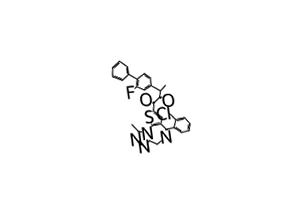 Cc1nnc2n1-c1sc(C(=O)C(=O)C(C)c3ccc(-c4ccccc4)c(F)c3)cc1C(c1ccccc1Cl)=NC2